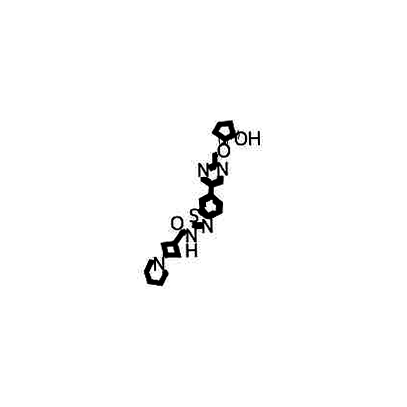 O=C(Nc1nc2ccc(-c3cnc(CO[C@H]4CCC[C@@H]4O)nc3)cc2s1)C1CC(N2CCCCC2)C1